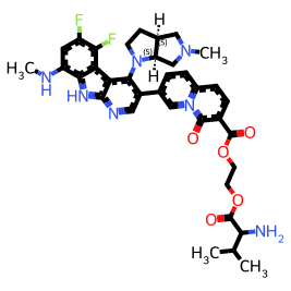 CNc1cc(F)c(F)c2c1[nH]c1ncc(-c3ccc4ccc(C(=O)OCCOC(=O)C(N)C(C)C)c(=O)n4c3)c(N3CC[C@H]4CN(C)C[C@H]43)c12